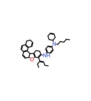 CC/C=C(\CC)C1=C(Nc2ccc(N(CCCCC)C3CC=CCC3)cc2)CCC2=C1OC1C=Cc3ccc4c(c3C21)C=CCC4